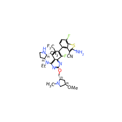 CCN(c1nc(OC[C@@H]2C[C@@H](OC)CN2C)nc2c(F)c(-c3ccc(F)c4sc(N)c(C#N)c34)c(C(F)(F)F)cc12)[C@@H]1CCN[C@@H]1C